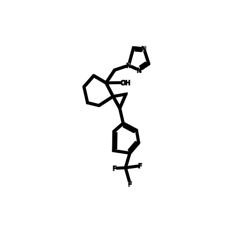 OC1(Cn2cncn2)CCCCC12CC2c1ccc(C(F)(F)F)cc1